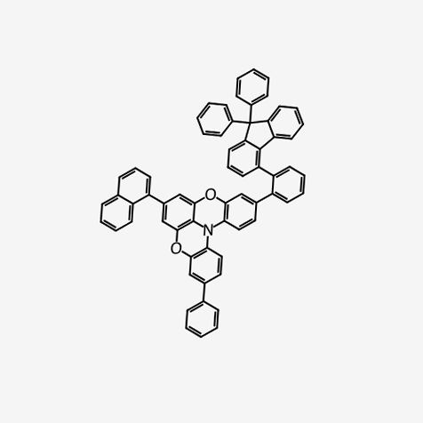 c1ccc(-c2ccc3c(c2)Oc2cc(-c4cccc5ccccc45)cc4c2N3c2ccc(-c3ccccc3-c3cccc5c3-c3ccccc3C5(c3ccccc3)c3ccccc3)cc2O4)cc1